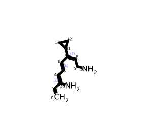 C=C/C(N)=C/C=C/C(=C\CN)C1CC1